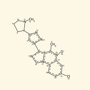 Cc1c2c(-n3cc(C4CCCN4C)nn3)ncn2c2ccc(Cl)cc2[n+]1[O-]